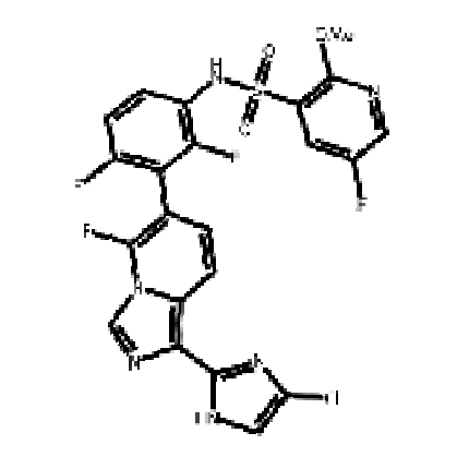 COc1ncc(F)cc1S(=O)(=O)Nc1ccc(F)c(-c2ccc3c(-c4nc(Cl)c[nH]4)ncn3c2F)c1F